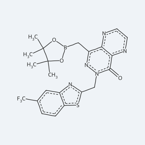 CC1(C)OB(Cc2nn(Cc3nc4cc(C(F)(F)F)ccc4s3)c(=O)c3nccnc23)OC1(C)C